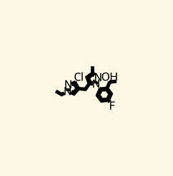 CCn1cc(Cc2cc(C)nn2-c2ccc(F)cc2C(C)O)c(Cl)n1